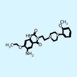 CCOc1cc2[nH]c(=O)n(CCN3CCN(c4ccccc4OC)CC3)c(=O)c2cc1N